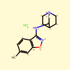 Cl.N#Cc1ccc2c(NC3CN4CCC3CC4)noc2c1